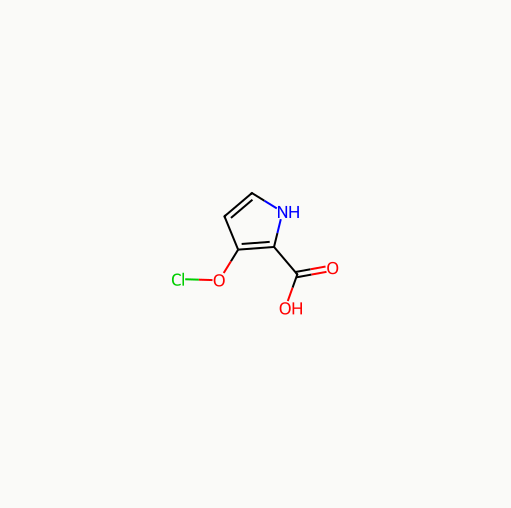 O=C(O)c1[nH]ccc1OCl